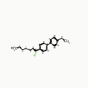 CCCCCC=C(F)c1ccc(-c2ccc(CC)cc2)cc1